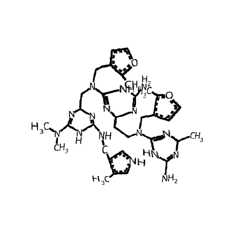 Cc1c[nH]cc1CNC1=NC(CN(Cc2ccoc2C)C2=NC(CCN(Cc3ccoc3C)C3=NC(C)N=C(N)N3)N=C(N)N2)N=C(N(C)C)N1